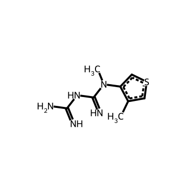 Cc1cscc1N(C)C(=N)NC(=N)N